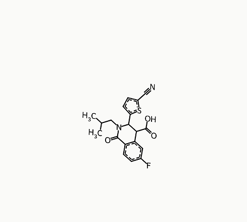 CC(C)CN1C(=O)c2ccc(F)cc2C(C(=O)O)C1c1ccc(C#N)s1